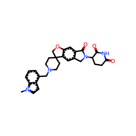 Cn1ccc2c(CN3CCC4(CC3)COc3cc5c(cc34)CN(C3CCC(=O)NC3=O)C5=O)cccc21